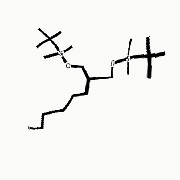 CC(C)(C)[Si](C)(C)OCC(CCCCCI)CO[Si](C)(C)C(C)(C)C